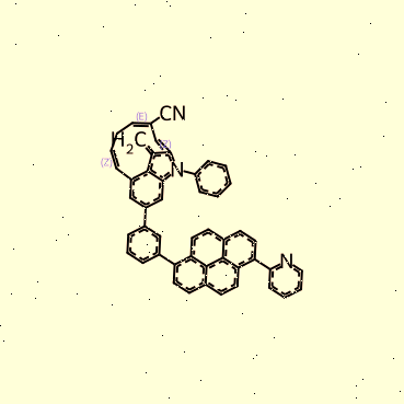 C=c1/c2n(-c3ccccc3)c3cc(-c4cccc(-c5ccc6ccc7c(-c8ccccn8)ccc8ccc5c6c87)c4)cc(c13)/C=C\C/C=C(C#N)\C=2